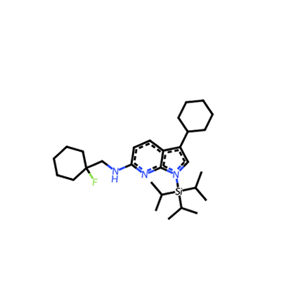 CC(C)[Si](C(C)C)(C(C)C)n1cc(C2CCCCC2)c2ccc(NCC3(F)CCCCC3)nc21